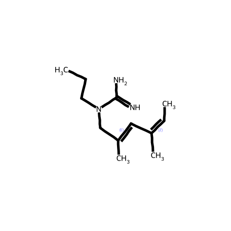 C/C=C(C)\C=C(/C)CN(CCC)C(=N)N